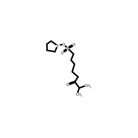 CC(C)C(=O)CCCCCS(=O)(=O)O[S+]1CCCC1